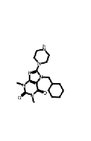 Cn1c(=O)c2c(nc(N3CCNCC3)n2CC2CCCCC2)n(C)c1=O